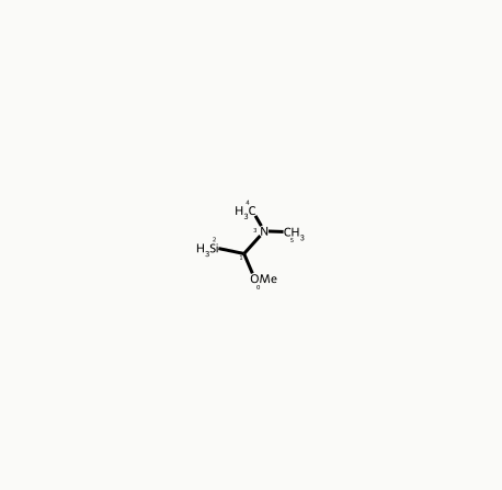 COC([SiH3])N(C)C